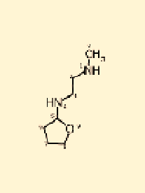 CNCCNC1CCCO1